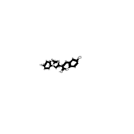 O=c1oc2ccc(Cl)cc2cc1-c1cn2c(n1)sc1cc(F)ccc12